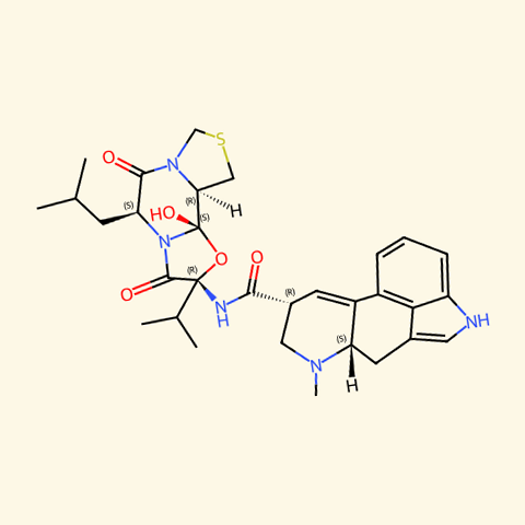 CC(C)C[C@H]1C(=O)N2CSC[C@H]2[C@]2(O)O[C@](NC(=O)[C@@H]3C=C4c5cccc6[nH]cc(c56)C[C@@H]4N(C)C3)(C(C)C)C(=O)N12